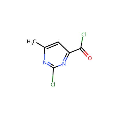 Cc1cc(C(=O)Cl)nc(Cl)n1